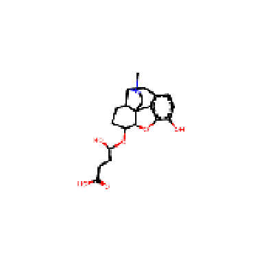 CN1CCC23c4c5ccc(O)c4OC2C(OC(O)CCC(=O)O)CCC3C1C5